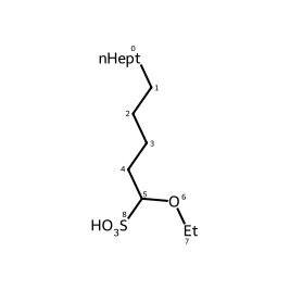 CCCCCCCCCCCC(OCC)S(=O)(=O)O